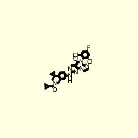 O=C(C1CC1)N1Cc2cc(Nc3ncc4c(=O)n(-c5c(Cl)cc(F)cc5Cl)c5nccn5c4n3)ccc2C2(CC2)C1